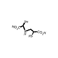 O=C(O)C(S)CNC(S)C(=O)O